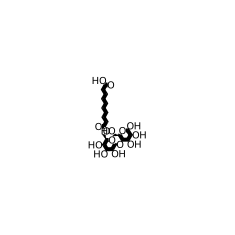 O=C(O)CCCCCCCCC(=O)OC[C@H]1O[C@@H](O[C@H]2[C@H](O)[C@@H](O)[C@H](O)O[C@@H]2CO)[C@H](O)[C@@H](O)[C@@H]1O